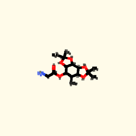 COC1C(OC(=O)CN)C2OC(C)(C)OC2C2OC(C)(C)OC12